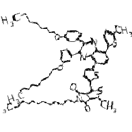 CCCCCCCCCCCCN1C(=O)c2c(C)sc(-c3ccc(-c4ccc(-c5ccc(C)s5)c5nc(-c6cccc(OCCCCCCCC)c6)c(-c6cccc(OCCCCCCCC)c6)nc45)s3)c2C1=O